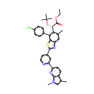 CCOC(=O)[C@@H](OC(C)(C)C)c1c(C)cc2nc(-c3ccnc(-c4ccc5c(C)cn(C)c5n4)c3)sc2c1-c1ccc(Cl)cc1